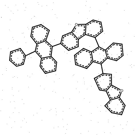 c1ccc(-c2c3ccccc3c(-c3ccc4c(c3)oc3cccc(-c5c6ccccc6c(-c6ccc7c(c6)oc6ccccc67)c6ccccc56)c34)c3ccccc23)cc1